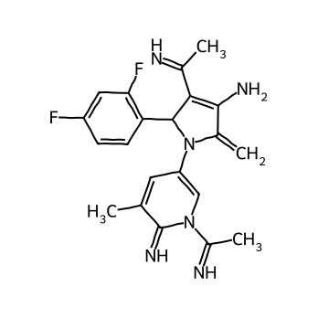 C=C1C(N)=C(C(C)=N)C(c2ccc(F)cc2F)N1c1cc(C)c(=N)n(C(C)=N)c1